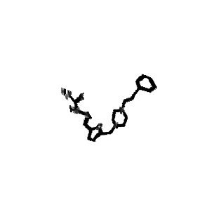 NC(=S)NN=Cc1ccc(CN2CCN(CCc3ccccc3)CC2)o1